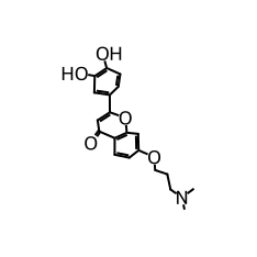 CN(C)CCCOc1ccc2c(=O)cc(-c3ccc(O)c(O)c3)oc2c1